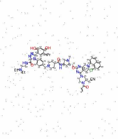 C=CC(=O)N1CCN(c2nc(OC[C@@H]3C[C@@H](NC(=O)C4CCN(Cc5ccc(-n6c(C(=O)NCCN(CC)CC)nnc6-c6cc(C(C)C)c(O)cc6O)cc5)CC4)CN3C)nc3c2CCN(c2cccc4cccc(Cl)c24)C3)CC1CC#N